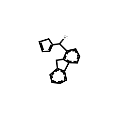 CCC(C1=CC=CC1)c1cccc2c1Cc1ccccc1-2